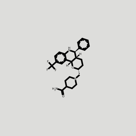 NC(=O)C1CCN(C[C@H]2CC[C@@H]3[C@H](O2)c2cc(C(F)(F)F)ccc2N[C@H]3c2ccccc2)CC1